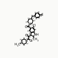 CC1Nc2cc(Cl)c(C(=O)N3CCC(Cc4ccc(F)cc4)CC3)cc2C1C(=O)C(=O)N1CCN(C)CC1